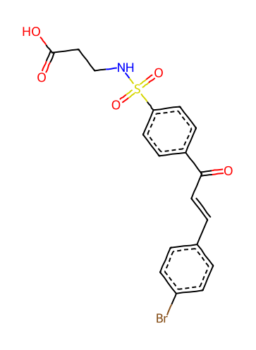 O=C(O)CCNS(=O)(=O)c1ccc(C(=O)/C=C/c2ccc(Br)cc2)cc1